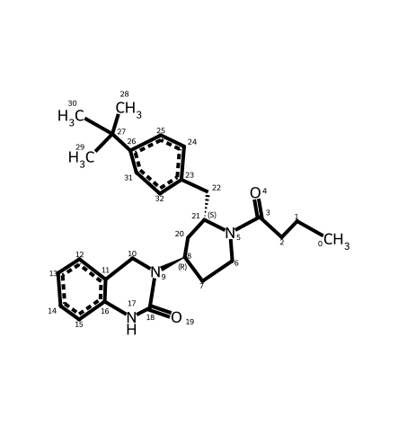 CCCC(=O)N1CC[C@@H](N2Cc3ccccc3NC2=O)C[C@@H]1Cc1ccc(C(C)(C)C)cc1